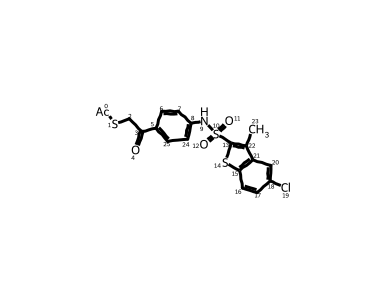 CC(=O)SCC(=O)c1ccc(NS(=O)(=O)c2sc3ccc(Cl)cc3c2C)cc1